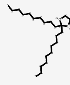 CCCCCCCCCCC1(CCCCCCCCCC)OCCO1